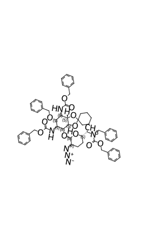 CC([C@@H]1CC[C@@H](N=[N+]=[N-])[C@@H](O[C@@H]2[C@@H](NC(=O)OCc3ccccc3)[C@H](OCc3ccccc3)[C@@H](NC(=O)OCc3ccccc3)[C@@H]3OC4(CCCCC4)O[C@@H]23)O1)N(Cc1ccccc1)C(=O)OCc1ccccc1